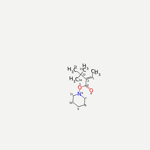 CC=C(C(=O)ON1CCCCC1)C(C)(C)C